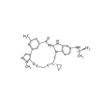 Cc1cc2cc(n1)-c1cnn(C)c1OCCC[C@@H](C1CC1)CN1/C(=N/C2=O)Nc2cc(N[C@H](C)C(F)(F)F)ccc21